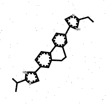 CCc1ncc(-c2ccc3c(c2)CCc2cc(-c4cnc(C(C)C)[nH]4)ccc2-3)[nH]1